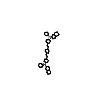 C1=CC(N(C2=CC=C(/C=C/C3=CC=C(/C=C/C4=CC=C(N(C5=CCCC=C5)C5C=CC6=C(C=CCC6)C5)CC4)CC3)CC2)C2C=CC3=C(C=CCC3)C2)=CCC1